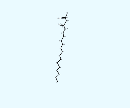 CCCCCCCCCCCCCCOC(=O)CC(C)=O